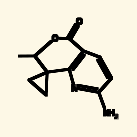 CC1OC(=O)c2ccc(N)nc2C12CC2